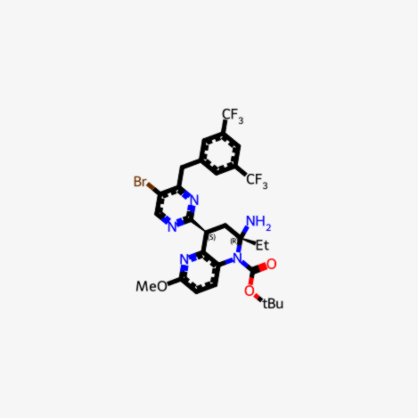 CC[C@]1(N)C[C@H](c2ncc(Br)c(Cc3cc(C(F)(F)F)cc(C(F)(F)F)c3)n2)c2nc(OC)ccc2N1C(=O)OC(C)(C)C